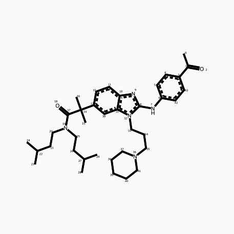 CC(=O)c1ccc(Nc2nc3ccc(C(C)(C)C(=O)N(CCC(C)C)CCC(C)C)cc3n2CCCN2CCCCC2)cc1